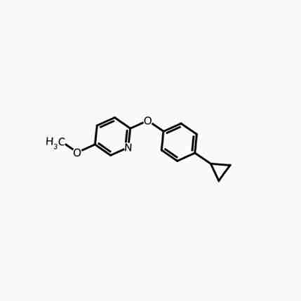 COc1ccc(Oc2ccc(C3CC3)cc2)nc1